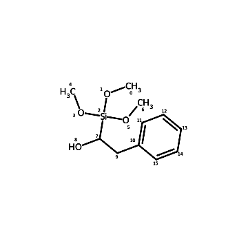 CO[Si](OC)(OC)C(O)Cc1ccccc1